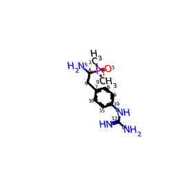 CP(C)(=O)C(N)Cc1ccc(NC(=N)N)cc1